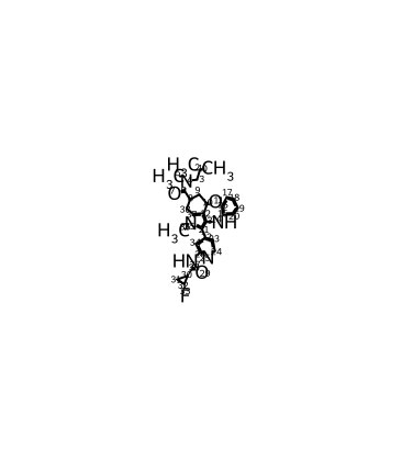 CC(C)CN(C)C(=O)C1CC(=O)c2c(Nc3ccccc3)c(-c3ccnc(NC(=O)[C@@H]4C[C@@H]4F)c3)n(C)c2C1